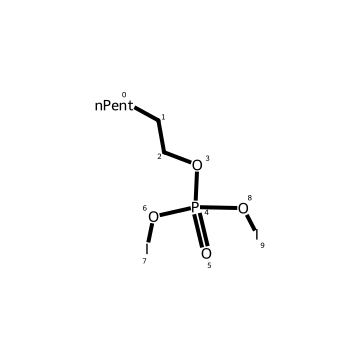 CCCCCCCOP(=O)(OI)OI